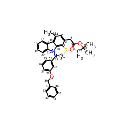 CSc1c(CC(=O)OC(C)(C)C)cc(C)c2c3ccccc3n(Cc3cccc(OCc4ccccc4)c3)c12